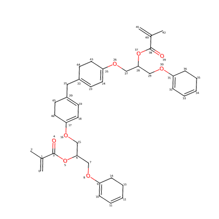 C=C(C)C(=O)OC(COC1=CC=CCC1)COC1=CC=C(CC2=CC=C(OCC(COC3=CC=CCC3)OC(=O)C(=C)C)CC2)CC1